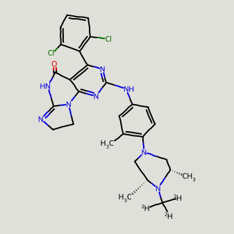 [2H]C([2H])([2H])N1[C@H](C)CN(c2ccc(Nc3nc(-c4c(Cl)cccc4Cl)c4c(n3)N3CCN=C3NC4=O)cc2C)C[C@@H]1C